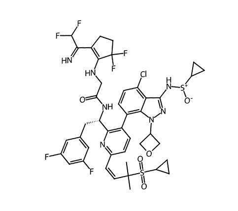 CC(C)(/C=C\c1ccc(-c2ccc(Cl)c3c(N[S+]([O-])C4CC4)nn(C4COC4)c23)c([C@H](Cc2cc(F)cc(F)c2)NC(=O)CNC2=C(C(=N)C(F)F)CCC2(F)F)n1)S(=O)(=O)C1CC1